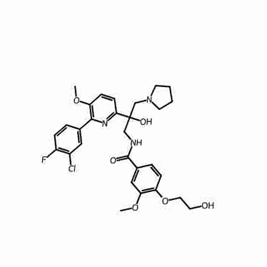 COc1cc(C(=O)NCC(O)(CN2CCCC2)c2ccc(OC)c(-c3ccc(F)c(Cl)c3)n2)ccc1OCCO